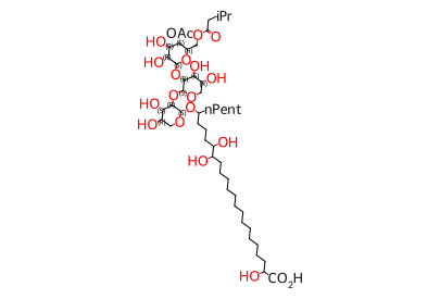 CCCCCC(CCCC(O)C(O)CCCCCCCCCCCCCC(O)C(=O)O)O[C@@H]1OC[C@@H](O)[C@H](O)[C@H]1O[C@@H]1OC[C@@H](O)[C@H](O)[C@H]1O[C@@H]1O[C@H](COC(=O)CC(C)C)[C@@H](OC(C)=O)[C@H](O)[C@H]1O